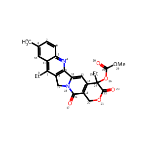 CCc1c2c(nc3ccc(C)cc13)-c1cc3c(c(=O)n1C2)COC(=O)C3(CC)OC(=O)OC